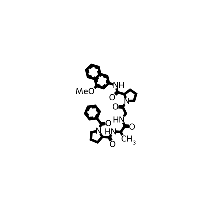 COc1cc(NC(=O)C2CCCN2C(=O)CNC(=O)C(C)NC(=O)C2CCCN2C(=O)c2ccccc2)cc2ccccc12